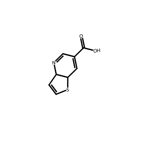 O=C(O)C1=CC2SC=CC2N=C1